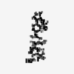 Cc1csc(-c2ccc(N3CCN(c4ncc(CO)c(C(F)(F)F)n4)[C@H](C(C)C)C3)cc2S(C)(=O)=O)n1